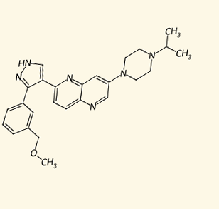 COCc1cccc(-c2n[nH]cc2-c2ccc3ncc(N4CCN(C(C)C)CC4)cc3n2)c1